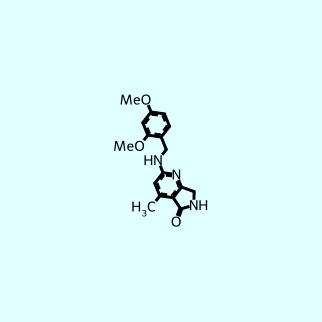 COc1ccc(CNc2cc(C)c3c(n2)CNC3=O)c(OC)c1